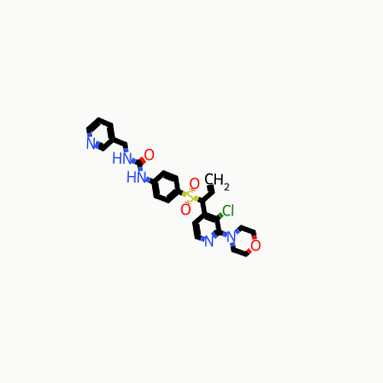 C=CC(c1ccnc(N2CCOCC2)c1Cl)S(=O)(=O)c1ccc(NC(=O)NCc2cccnc2)cc1